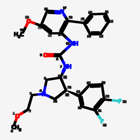 COCCN1C[C@@H](NC(=O)Nc2cc(OC)cnc2-c2ccccc2)[C@H](c2ccc(F)c(F)c2)C1